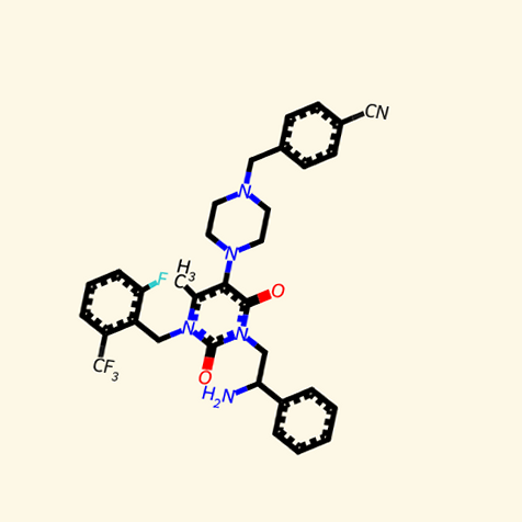 Cc1c(N2CCN(Cc3ccc(C#N)cc3)CC2)c(=O)n(CC(N)c2ccccc2)c(=O)n1Cc1c(F)cccc1C(F)(F)F